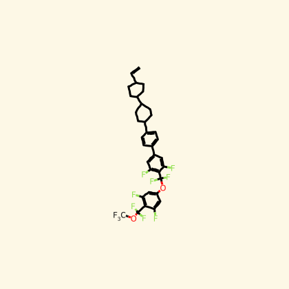 C=CC1CCC(C2CCC(c3ccc(-c4cc(F)c(C(F)(F)Oc5cc(F)c(C(F)(F)OC(F)(F)F)c(F)c5)c(F)c4)cc3)CC2)CC1